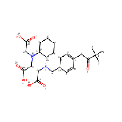 CC(C)(C)C(=O)Cc1ccc(CN(CC(=O)O)[C@H]2CCCC[C@@H]2N(CC(=O)O)CC(=O)O)cc1